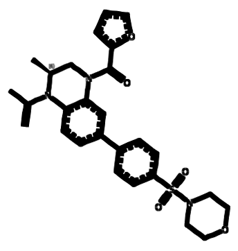 C=C(C)N1c2ccc(-c3ccc(S(=O)(=O)N4CCOCC4)cc3)cc2N(C(=O)c2ccco2)C[C@@H]1C